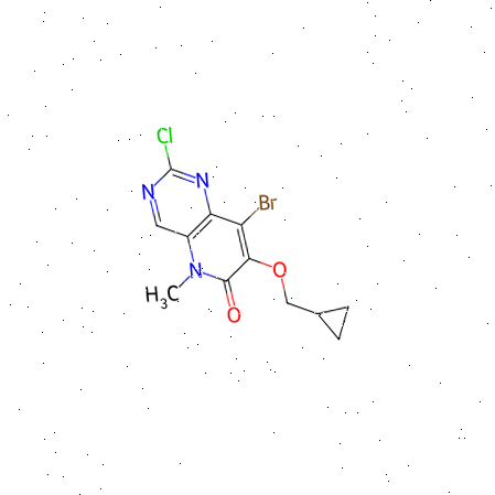 Cn1c(=O)c(OCC2CC2)c(Br)c2nc(Cl)ncc21